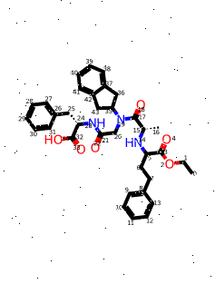 CCOC(=O)C(CCc1ccccc1)N[C@@H](C)C(=O)N(CC(=O)N[C@@H](Cc1ccccc1)C(=O)O)C1Cc2ccccc2C1